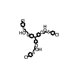 OC(COc1ccc(C(c2ccc(OCC(O)CSc3ccc(Cl)cc3)cc2)c2ccc(OCC(O)CSc3ccc(Cl)cc3)cc2)cc1)CSc1ccc(Cl)cc1